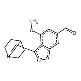 COc1cc(C=O)cc2coc(C3=CN4CCC3CC4)c12